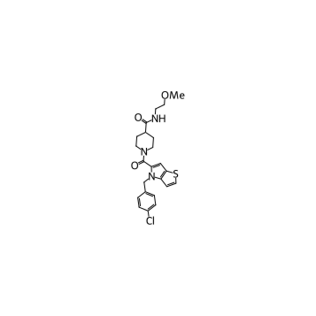 COCCNC(=O)C1CCN(C(=O)c2cc3sccc3n2Cc2ccc(Cl)cc2)CC1